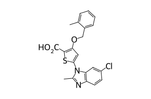 Cc1ccccc1COc1cc(-n2c(C)nc3ccc(Cl)cc32)sc1C(=O)O